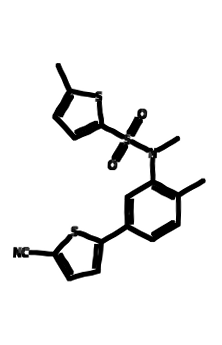 Cc1ccc(S(=O)(=O)N(C)c2cc(-c3ccc(C#N)s3)ccc2C)s1